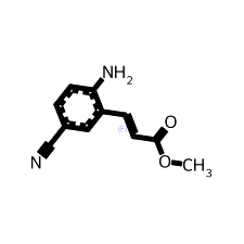 COC(=O)/C=C/c1cc(C#N)ccc1N